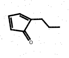 CCCC1=CC=CC1=O